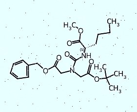 CCCC[C@H](NC(=O)N(CC(=O)OCc1ccccc1)CC(=O)OC(C)(C)C)C(=O)OC